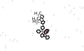 CC1C=CC2=C(C1)C(C)(C)c1cc(-c3ccc([Si](c4ccccc4)(c4ccccc4)c4cccc5c6ccccc6n(-c6ccccc6)c45)cc3)ccc12